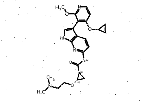 COc1nccc(OC2CC2)c1-c1c[nH]c2nc(NC(=O)[C@H]3C[C@@H]3OCCN(C)C)ccc12